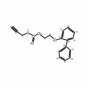 C#CCOS(=O)OCCOc1ccccc1-c1ccccc1